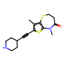 Cc1c(C#CC2CCNCC2)sc2c1SCCC(=O)N2C